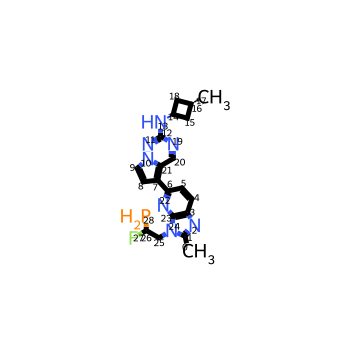 Cc1nc2ccc(-c3ccn4nc(N[C@H]5C[C@@H](C)C5)ncc34)nc2n1CC(F)P